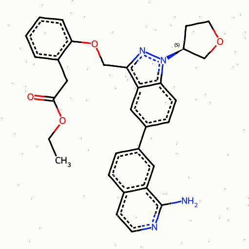 CCOC(=O)Cc1ccccc1OCc1nn([C@H]2CCOC2)c2ccc(-c3ccc4ccnc(N)c4c3)cc12